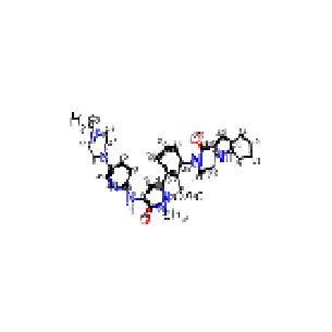 CC(=O)OCc1c(-c2cc(Nc3ccc(N4CCN(C)CC4)cn3)c(=O)n(C)n2)cccc1N1CCn2c(cc3c2CCCC3)C1=O